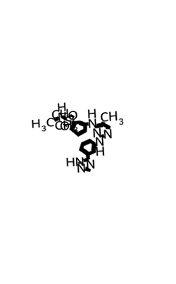 Cc1cnc(Nc2cccc(-c3ncn[nH]3)c2)nc1Nc1cccc(S(=O)(=O)NC(C)(C)C)c1